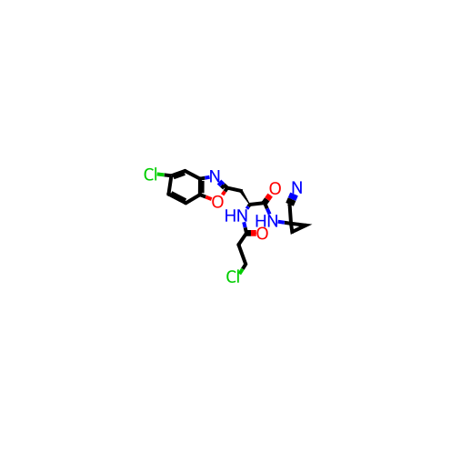 N#CC1(NC(=O)[C@H](Cc2nc3cc(Cl)ccc3o2)NC(=O)CCCl)CC1